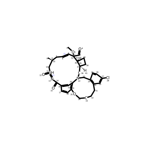 CO[C@]1(C=O)/C=C/C[C@H](C)C/[SH](=O)=N\C(=O)c2ccc3c(c2)N(Cc2ccc(Cl)cc2CCCCO3)C[C@@H]2CC[C@H]21